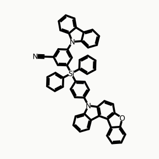 N#Cc1cc(-n2c3ccccc3c3ccccc32)cc([Si](c2ccccc2)(c2ccccc2)c2ccc(-n3c4ccccc4c4c5c(ccc43)oc3ccccc35)cc2)c1